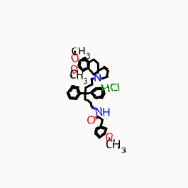 COc1cccc(CC(=O)NCCCC(CCCN2CCCCC23CCc2cc(OC)c(OC)cc2C3)(c2ccccc2)c2ccccc2)c1.Cl